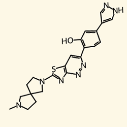 CN1CCC2(CCN(c3nc4nnc(-c5ccc(-c6cn[nH]c6)cc5O)cc4s3)C2)C1